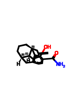 C=C1CC[C@H]2[C@@H]3CCC[C@@]2(C1)c1c(ccc(C(N)=O)c1O)C3